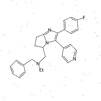 CCN(Cc1ccccc1)CC1CCc2nc(-c3ccc(F)cc3)c(-c3ccncc3)n21